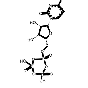 CNc1ccn([C@@H]2O[C@H](COP3(=O)OP(=O)(O)OP(=O)(O)O3)[C@H](O)[C@@H]2O)c(=O)n1